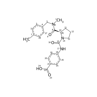 Cc1ccc(CN(C)C(=O)[C@H]2CCCN2C(=O)Nc2ccc(C(=O)O)cc2)cc1